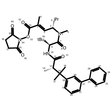 C/C(=C\[C@H](C(C)C)N(C)C(=O)[C@@H](NC(=O)[C@@H](C)C(C)(C)c1cccc(-c2ccccc2)c1)C(C)(C)C)C(=O)ON1C(=O)CCC1=O